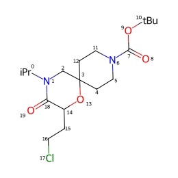 CC(C)N1CC2(CCN(C(=O)OC(C)(C)C)CC2)OC(CCCl)C1=O